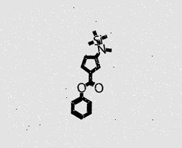 CN(C1CCC(C(=O)Oc2ccccc2)C1)[Si](C)(C)C